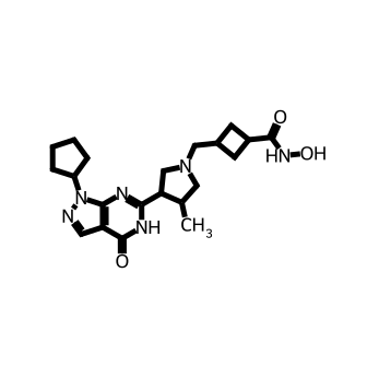 CC1CN(CC2CC(C(=O)NO)C2)CC1c1nc2c(cnn2C2CCCC2)c(=O)[nH]1